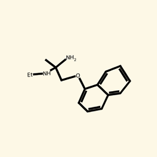 CCNC(C)(N)COc1cccc2ccccc12